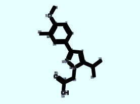 COc1ccc(-c2cc(C(C)C)n(CC(=O)O)n2)cc1C